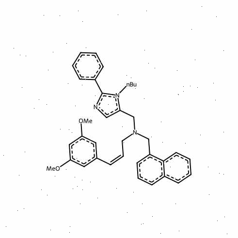 CCCCn1c(CN(C/C=C\c2cc(OC)cc(OC)c2)Cc2cccc3ccccc23)cnc1-c1ccccc1